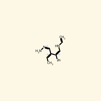 C=CN\C=C(C(/C=N\N)=C\C)\C(C)C